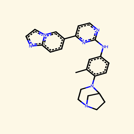 Cc1cc(Nc2nccc(-c3ccc4nccn4c3)n2)ccc1N1CCN2CCC1C2